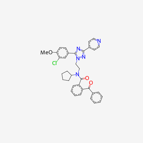 COc1ccc(-c2nc(-c3ccncc3)nn2CCN(C(=O)c2ccccc2C(=O)c2ccccc2)C2CCCC2)cc1Cl